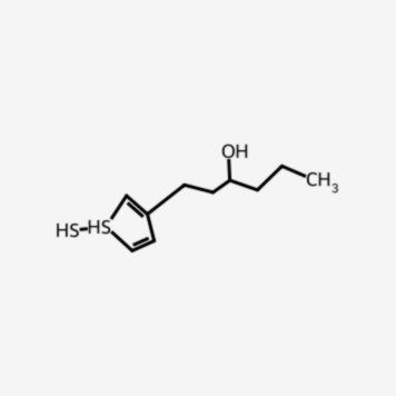 CCCC(O)CCC1=C[SH](S)C=C1